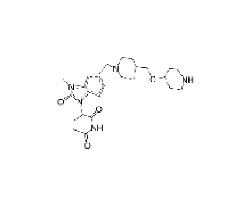 Cn1c(=O)n(C2CCC(=O)NC2=O)c2ccc(CN3CCC(COC4CCNCC4)CC3)cc21